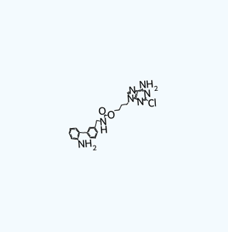 Nc1ccccc1-c1cccc(CNC(=O)OCCCCn2cnc3c(N)nc(Cl)nc32)c1